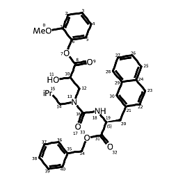 COc1ccccc1OC(=O)C(O)CN(CC(C)C)C(=O)N[C@@H](Cc1ccc2ccccc2c1)C(=O)OCc1ccccc1